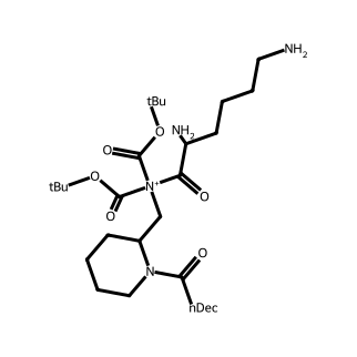 CCCCCCCCCCC(=O)N1CCCCC1C[N+](C(=O)OC(C)(C)C)(C(=O)OC(C)(C)C)C(=O)C(N)CCCCN